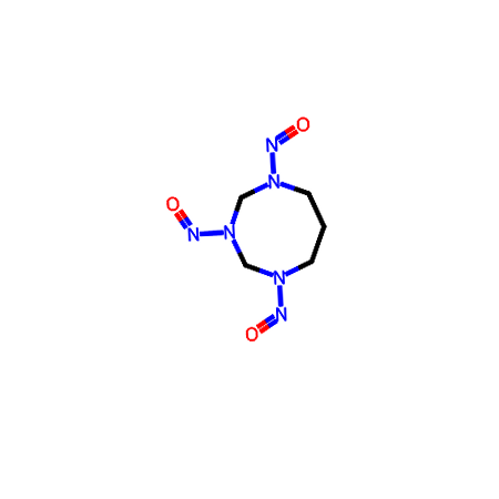 O=NN1CCCN(N=O)CN(N=O)C1